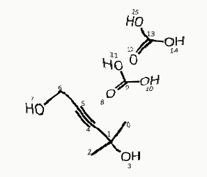 CC(C)(O)C#CCO.O=C(O)O.O=C(O)O